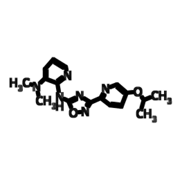 CC(C)Oc1ccc(-c2noc(Nc3ncccc3N(C)C)n2)nc1